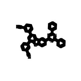 N#Cc1cccc(-c2cc(-c3cccc(C#N)c3)c3oc4ccc(-c5nc(-c6ccccc6)nc(-c6ccccc6)n5)cc4c3c2)c1